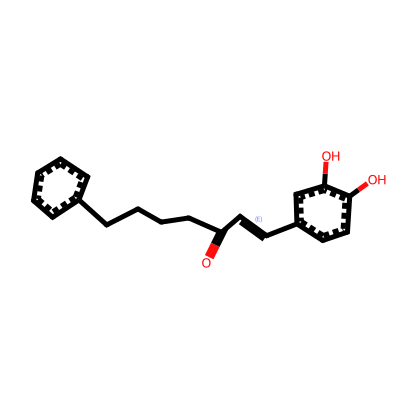 O=C(/C=C/c1ccc(O)c(O)c1)CCCCc1ccccc1